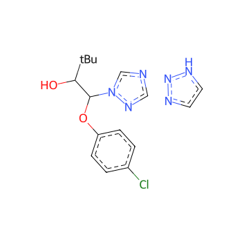 CC(C)(C)C(O)C(Oc1ccc(Cl)cc1)n1cncn1.c1c[nH]nn1